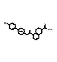 COC(=O)C1=Cc2cccc(NCC34CCC(c5ccc(Br)cc5)(CC3)CC4)c2CC1